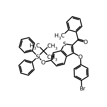 Cc1ccccc1C(=O)c1sc2cc(O[Si](c3ccccc3)(c3ccccc3)C(C)(C)C)ccc2c1Oc1ccc(Br)cc1